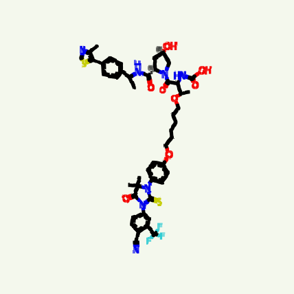 Cc1ncsc1-c1ccc(C(C)NC(=O)[C@@H]2C[C@@H](O)CN2C(=O)C(NC(=O)O)C(C)OCCCCCCOc2ccc(N3C(=S)N(c4ccc(C#N)c(C(F)(F)F)c4)C(=O)C3(C)C)cc2)cc1